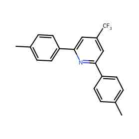 Cc1ccc(-c2cc(C(F)(F)F)cc(-c3ccc(C)cc3)n2)cc1